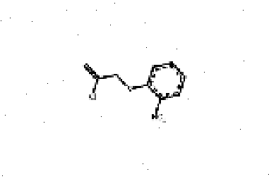 C=C(Cl)CSc1ccccc1[N+](=O)[O-]